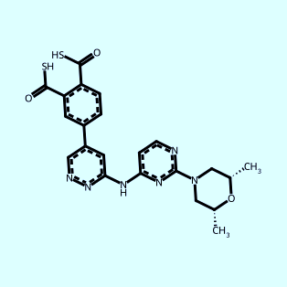 C[C@@H]1CN(c2nccc(Nc3cc(-c4ccc(C(=O)S)c(C(=O)S)c4)cnn3)n2)C[C@H](C)O1